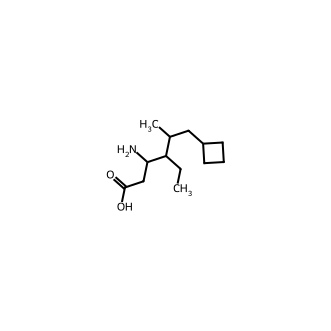 CCC(C(C)CC1CCC1)C(N)CC(=O)O